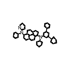 c1ccc(-c2cc(-c3ccccc3)cc(N(c3ccccc3)c3ccc4ccc5c(N(c6ccccc6)c6ccccn6)ccc6ccc3c4c65)c2)cc1